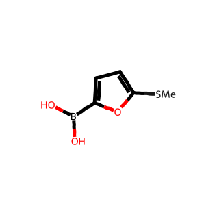 CSc1ccc(B(O)O)o1